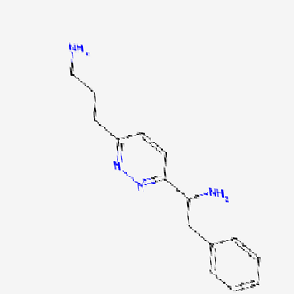 NCCCc1ccc(C(N)Cc2ccccc2)nn1